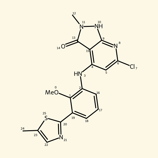 COc1c(Nc2cc(Cl)nc3[nH]n(C)c(=O)c23)cccc1-c1ncc(C)s1